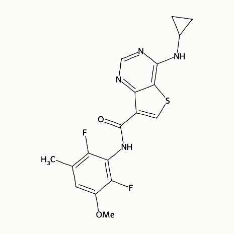 COc1cc(C)c(F)c(NC(=O)c2csc3c(NC4CC4)ncnc23)c1F